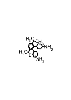 CC(C)c1ccc(C(C)C)c(C2CCC(N)CC2)c1C1CCC(N)CC1